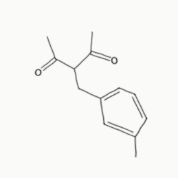 CC(=O)C(Cc1cccc(C)c1)C(C)=O